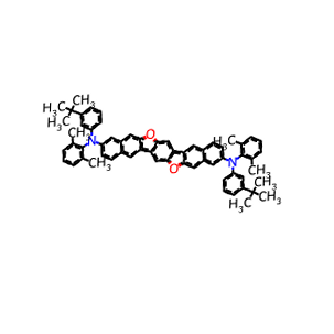 Cc1cccc(C)c1N(c1cccc(C(C)(C)C)c1)c1ccc2cc3c(cc2c1)oc1cc2c(cc13)oc1cc3cc(N(c4cccc(C(C)(C)C)c4)c4c(C)cccc4C)ccc3cc12